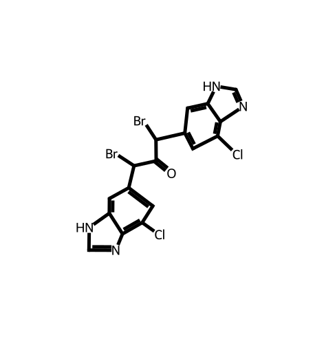 O=C(C(Br)c1cc(Cl)c2nc[nH]c2c1)C(Br)c1cc(Cl)c2nc[nH]c2c1